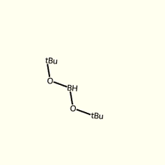 CC(C)(C)OBOC(C)(C)C